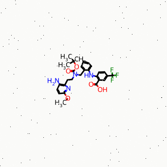 COc1ccc(N)c(CCN(Cc2ccccc2Nc2ccc(C(F)(F)F)cc2C(=O)O)C(=O)OC(C)(C)C)n1